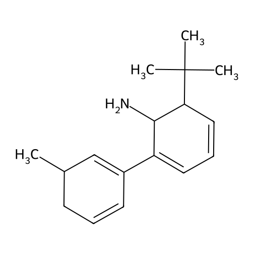 CC1C=C(C2=CC=CC(C(C)(C)C)C2N)C=CC1